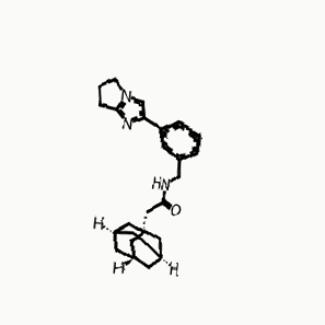 O=C(C[C@]12C[C@@H]3C[C@@H](C[C@@H](C3)C1)C2)NCc1cccc(-c2cn3c(n2)CCC3)c1